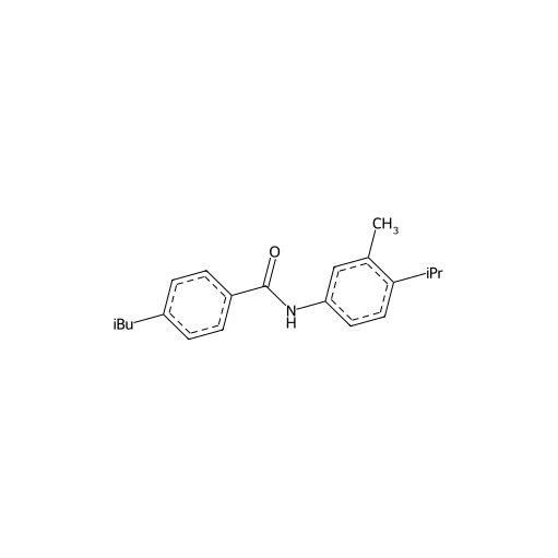 CCC(C)c1ccc(C(=O)Nc2ccc(C(C)C)c(C)c2)cc1